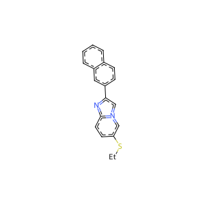 CCSc1ccc2nc(-c3ccc4ccccc4c3)cn2c1